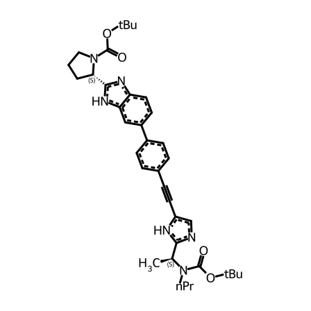 CCCN(C(=O)OC(C)(C)C)[C@@H](C)c1ncc(C#Cc2ccc(-c3ccc4nc([C@@H]5CCCN5C(=O)OC(C)(C)C)[nH]c4c3)cc2)[nH]1